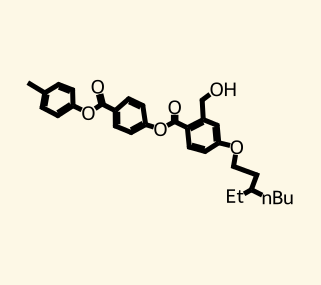 CCCCC(CC)CCOc1ccc(C(=O)Oc2ccc(C(=O)Oc3ccc(C)cc3)cc2)c(CO)c1